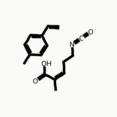 C=Cc1ccc(C)cc1.CC(=CCCN=C=O)C(=O)O